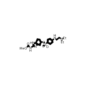 CCN(CC)CCNc1ccc(S(=O)(=O)Oc2ccc3[nH]c(NC(=O)OC)nc3c2)cc1